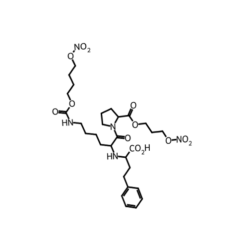 O=C(NCCCCC(NC(CCc1ccccc1)C(=O)O)C(=O)N1CCCC1C(=O)OCCCO[N+](=O)[O-])OCCCCO[N+](=O)[O-]